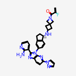 C=C(F)C(=O)N1CC2(CC(N[C@H]3CCc4cc(-n5c(-c6cccnc6N)nc6ccc(-n7cccn7)nc65)ccc43)C2)C1